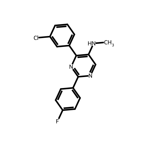 CNc1cnc(-c2ccc(F)cc2)nc1-c1cccc(Cl)c1